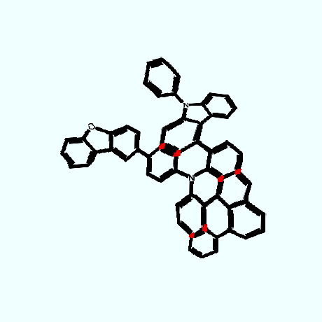 c1ccc(-c2cccc3cccc(-c4ccccc4N(c4ccc(-c5ccc6oc7ccccc7c6c5)cc4)c4ccccc4-c4cccc5c4c4ccccc4n5-c4ccccc4)c23)cc1